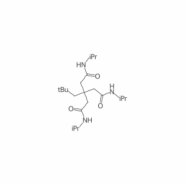 CC(C)NC(=O)CC(CC(=O)NC(C)C)(CC(=O)NC(C)C)CC(C)(C)C